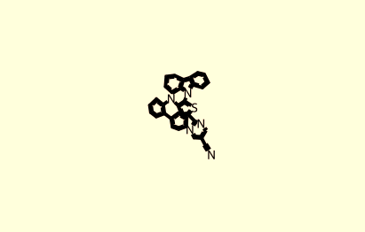 N#Cc1cnc(-c2cc3c(s2)-n2c4ccccc4c4cccc(c42)N3c2ccccc2-c2ccccc2)nc1